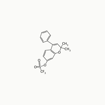 CC1(C)C=C(c2ccccc2)c2ccc(OS(=O)(=O)C(F)(F)F)cc2O1